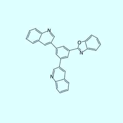 c1ccc2ncc(-c3cc(-c4cnc5ccccc5c4)cc(-c4nc5ccccc5o4)c3)cc2c1